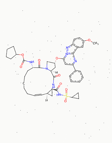 COc1ccc2nn3c(O[C@@H]4C[C@H]5C(=O)N[C@]6(C(=O)NS(=O)(=O)C7CC7)C[C@H]6/C=C\CCCCC[C@H](NC(=O)OC6CCCC6)C(=O)N5C4)cc(-c4ccccc4)nc3c2c1